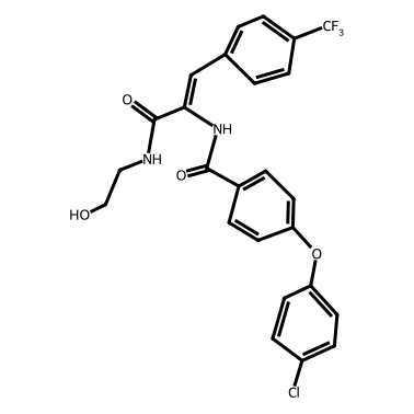 O=C(NCCO)/C(=C/c1ccc(C(F)(F)F)cc1)NC(=O)c1ccc(Oc2ccc(Cl)cc2)cc1